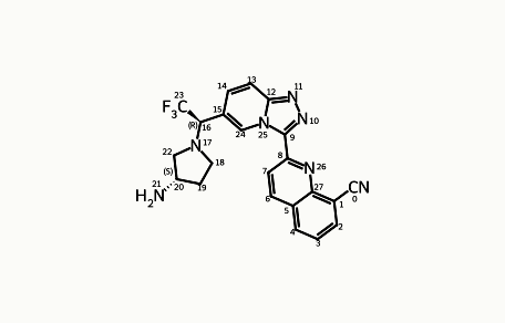 N#Cc1cccc2ccc(-c3nnc4ccc([C@@H](N5CC[C@H](N)C5)C(F)(F)F)cn34)nc12